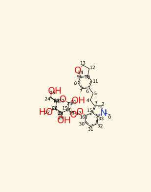 Cn1cc(CCc2ccc3c(c2)CCO3)c2c(OO[C@H]3C(O)O[C@H](CO)[C@@H](O)[C@@H]3O)cccc21